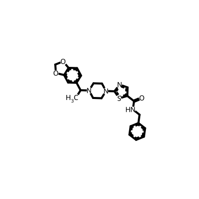 CC(c1ccc2c(c1)OCO2)N1CCN(c2ncc(C(=O)NCc3ccccc3)s2)CC1